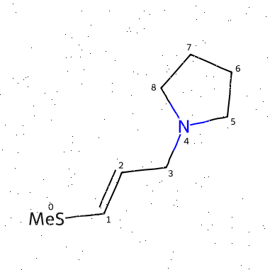 CS/C=C/CN1CCCC1